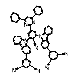 N#Cc1cc(C#N)cc(-c2ccc3c(c2)c2ccccc2n3-c2cc(-c3nc(-c4ccccc4)cc(-c4ccccc4)n3)cc(-n3c4ccccc4c4cc(-c5cc(C#N)cc(C#N)c5)ccc43)c2C#N)c1